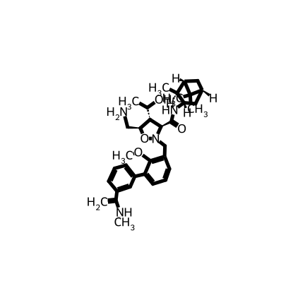 C=C(NC)c1cccc(-c2cccc(CN3O[C@@H](CN)[C@H](C(C)O)[C@H]3C(=O)N[C@H]3C[C@H]4C[C@@H]([C@@H]3C)C4(C)C)c2OC)c1